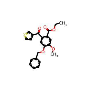 CCOC(=O)c1cc(OC)c(OCc2ccccc2)cc1C(=O)c1ccsc1